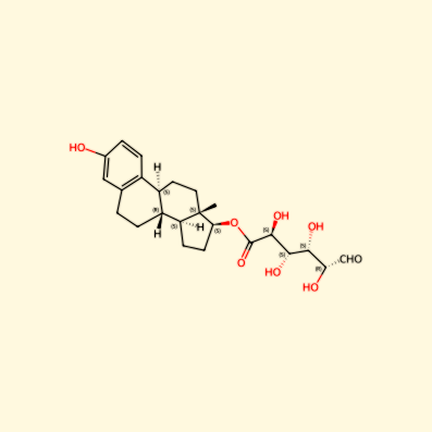 C[C@]12CC[C@@H]3c4ccc(O)cc4CC[C@H]3[C@@H]1CC[C@@H]2OC(=O)[C@@H](O)[C@@H](O)[C@H](O)[C@@H](O)C=O